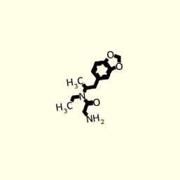 CCN(C(=O)CN)C(C)Cc1ccc2c(c1)OCO2